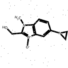 Cn1c(CO)[n+]([O-])c2cc(N3CC3)ccc21